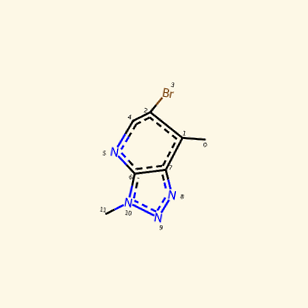 Cc1c(Br)cnc2c1nnn2C